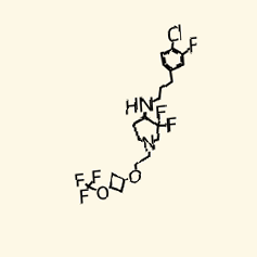 Fc1cc(CCCNC2CCN(CCO[C@H]3C[C@@H](OC(F)(F)F)C3)CC2(F)F)ccc1Cl